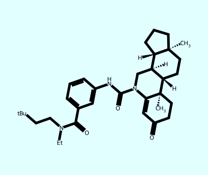 CCN(CCC(C)(C)C)C(=O)c1cccc(NC(=O)N2C[C@H]3[C@@H]4CCC[C@@]4(C)CC[C@@H]3[C@@]3(C)CCC(=O)C=C23)c1